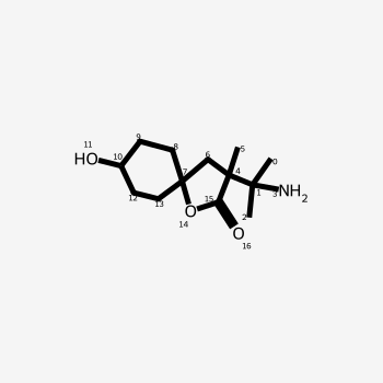 CC(C)(N)C1(C)CC2(CCC(O)CC2)OC1=O